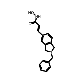 O=C(/C=C/c1ccc2c(c1)CN(Cc1ccccc1)C2)NO